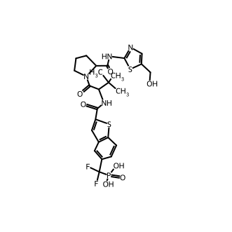 CC(C)(C)C(NC(=O)c1cc2cc(C(F)(F)P(=O)(O)O)ccc2s1)C(=O)N1CCCC1C(=O)Nc1ncc(CO)s1